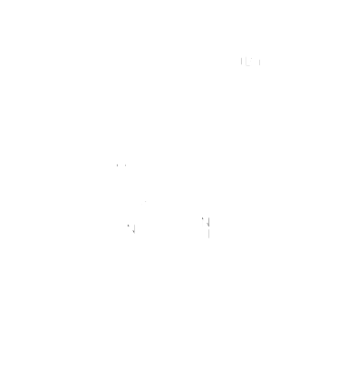 CC(C)(C)c1ccc(C(Nc2ccccc2)C(=O)N2CCCCCC2c2ccccc2)cc1